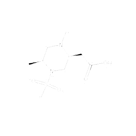 C[C@H]1CN(C)[C@@H](CC(=O)O)CN1S(C)(=O)=O